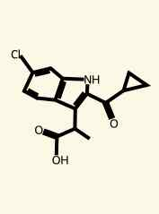 CC(C(=O)O)c1c(C(=O)C2CC2)[nH]c2cc(Cl)ccc12